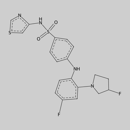 O=S(=O)(Nc1cscn1)c1ccc(Nc2ccc(F)cc2N2CCC(F)C2)cc1